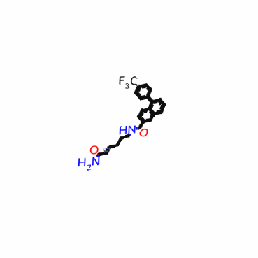 NC(=O)/C=C/CCCNC(=O)c1ccc2c(-c3ccc(C(F)(F)F)cc3)cccc2c1